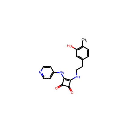 Cc1ccc(CCNc2c(Nc3ccncc3)c(=O)c2=O)cc1O